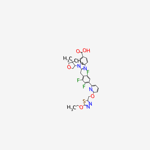 CCOc1nnc(COc2cccc(-c3cc(F)c(Cc4nc5ccc(C(=O)O)cc5n4C4COCC4(C)C)c(F)c3F)n2)s1